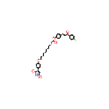 O=C1C=C(c2ccc(OCCCCCCCCCCC(=O)Oc3ccc(C=CC(=O)c4ccc(F)cc4)cc3)cc2)C(=O)N1